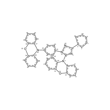 c1ccc(-c2nc(N3c4ccccc4Oc4ccccc43)n(-c3ccc(N4c5ccccc5Oc5ccccc54)cc3)n2)cc1